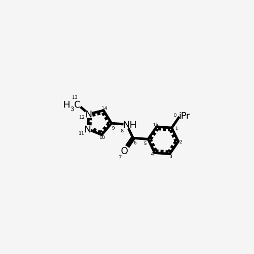 CC(C)c1cccc(C(=O)Nc2cnn(C)c2)c1